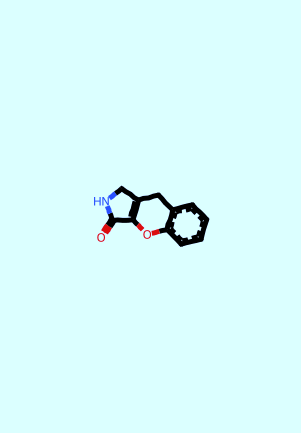 O=C1NCC2=C1Oc1ccccc1C2